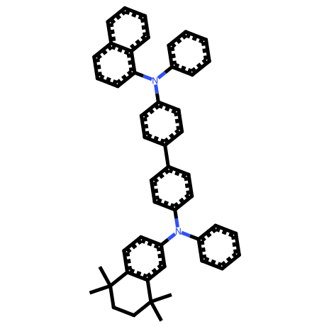 CC1(C)CCC(C)(C)c2cc(N(c3ccccc3)c3ccc(-c4ccc(N(c5ccccc5)c5cccc6ccccc56)cc4)cc3)ccc21